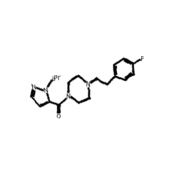 CC(C)n1nccc1C(=O)N1CCN(CCc2ccc(F)cc2)CC1